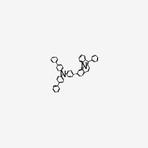 c1ccc(-c2ccc(N(c3ccc(-c4ccccc4)cc3)c3ccc(-c4ccc5ccc6c(-c7ccccc7)c7ccccc7n6c5c4)cc3)cc2)cc1